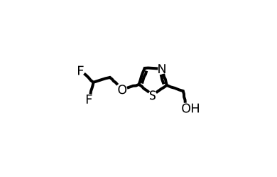 OCc1ncc(OCC(F)F)s1